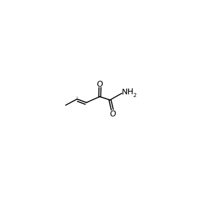 C/[C]=C/C(=O)C(N)=O